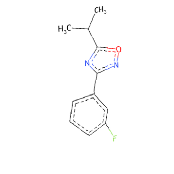 CC(C)c1nc(-c2cccc(F)c2)no1